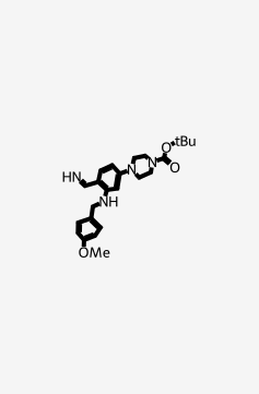 COc1ccc(CNc2cc(N3CCN(C(=O)OC(C)(C)C)CC3)ccc2C=N)cc1